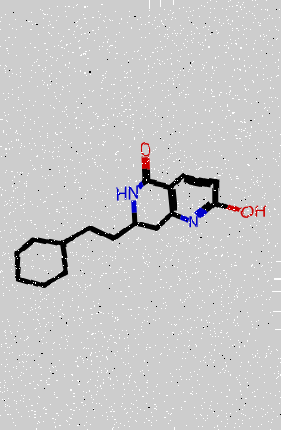 O=C1NC(CCC2CCCCC2)Cc2nc(O)ccc21